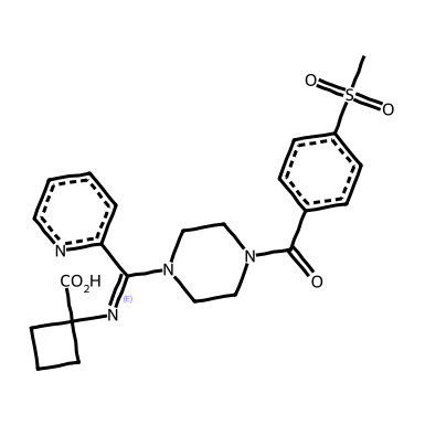 CS(=O)(=O)c1ccc(C(=O)N2CCN(/C(=N/C3(C(=O)O)CCC3)c3ccccn3)CC2)cc1